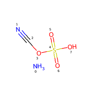 N.N#COS(=O)(=O)O